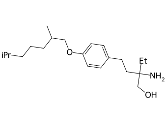 CCC(N)(CO)CCc1ccc(OCC(C)CCCC(C)C)cc1